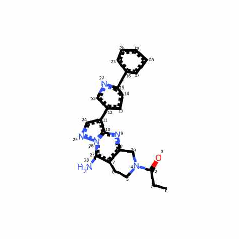 CCC(=O)N1CCc2c(nc3c(-c4ccc(-c5ccccc5)nc4)cnn3c2N)C1